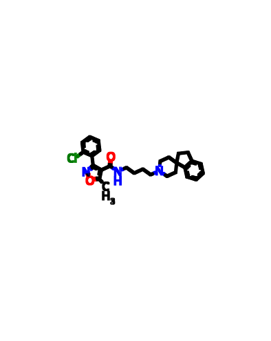 Cc1onc(-c2ccccc2Cl)c1C(=O)NCCCCN1CCC2(CCc3ccccc32)CC1